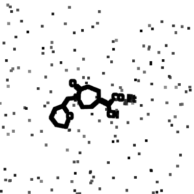 CCOC(=O)/C(C#N)=C1\CCC(=O)N(CC2CCCCO2)CC1